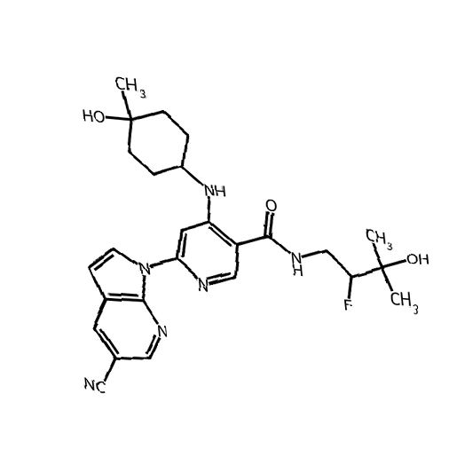 CC1(O)CCC(Nc2cc(-n3ccc4cc(C#N)cnc43)ncc2C(=O)NCC(F)C(C)(C)O)CC1